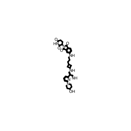 N=C/C(=C\NC1CC(CCCNc2ccc3c(c2)C(=O)N(C2CCC(=O)NC2=O)C3=O)C1)c1cccc(N2CCC(O)CC2)n1